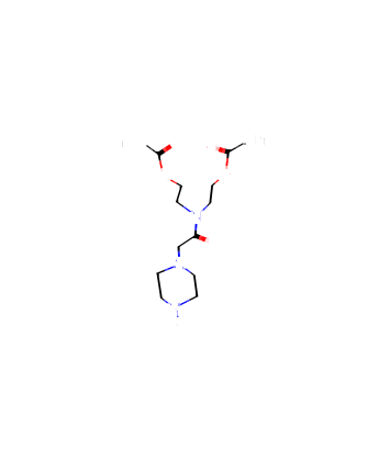 CCCC(=O)OCCN(CCOC(=O)CCC)C(=O)CN1CCN(C)CC1